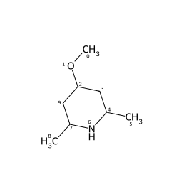 COC1CC(C)NC(C)C1